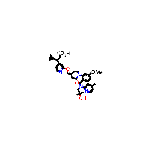 COc1ccc(C(=O)N(CC(C)(C)O)c2cc(C)ccn2)c(N2CCC(COc3cc(C(CC(=O)O)C4CC4)ccn3)CC2)c1